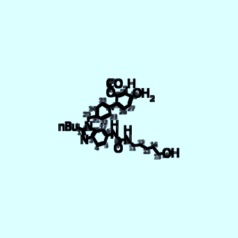 CCCCc1nc2ccc(NC(=O)NCCCCCO)cc2n1Cc1ccc(-c2ccccc2OC(=O)O)cc1.O